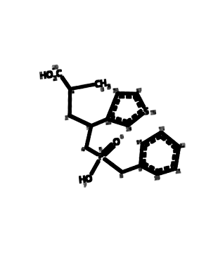 CC(CC(CP(=O)(O)Cc1ccccc1)c1ccsc1)C(=O)O